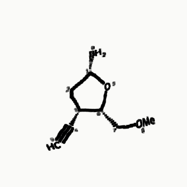 B[C@H]1C[C@@H](C#C)[C@@H](COC)O1